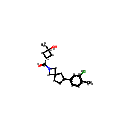 Cc1ccc(C2CCC3(C2)CN(C(=O)[C@H]2C[C@@](C)(O)C2)C3)cc1Cl